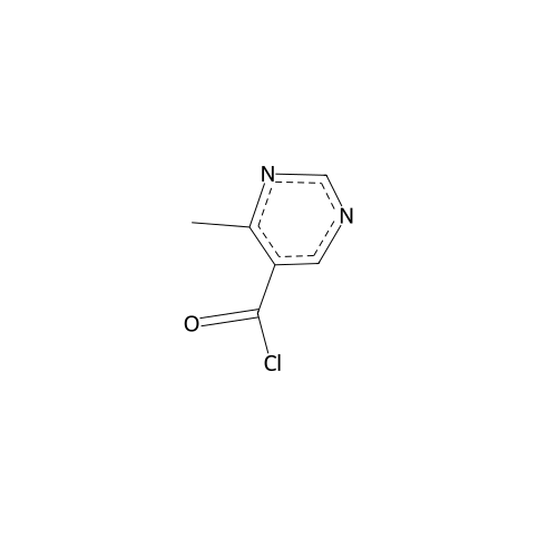 Cc1ncncc1C(=O)Cl